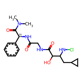 CN(C)C(=O)[C@@H](NC(=O)CNC(=O)C(O)C(CC1CC1)NCl)c1ccccc1